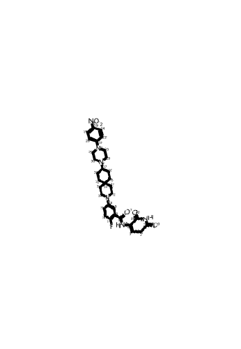 O=C1CCC(NC(=O)c2cc(N3CCC4(CCC(N5CCN(c6ccc([N+](=O)[O-])cc6)CC5)CC4)CC3)ccc2F)C(=O)N1